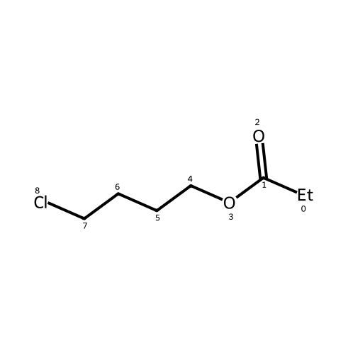 CCC(=O)OCCCCCl